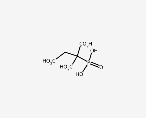 O=C(O)CC(C(=O)O)(C(=O)O)P(=O)(O)O